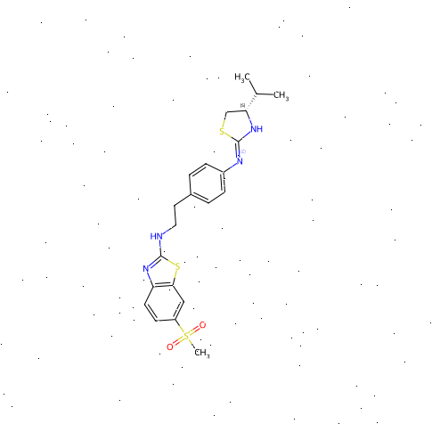 CC(C)[C@H]1CS/C(=N\c2ccc(CCNc3nc4ccc(S(C)(=O)=O)cc4s3)cc2)N1